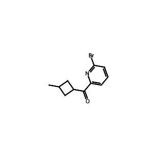 CC1CC(C(=O)c2cccc(Br)n2)C1